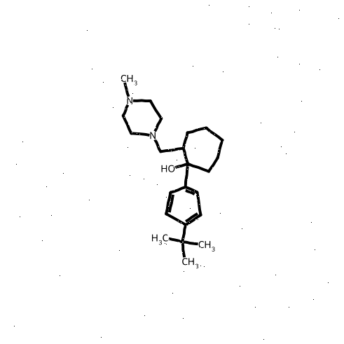 CN1CCN(CC2CCCCCC2(O)c2ccc(C(C)(C)C)cc2)CC1